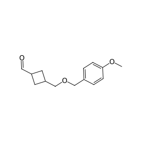 COc1ccc(COCC2CC(C=O)C2)cc1